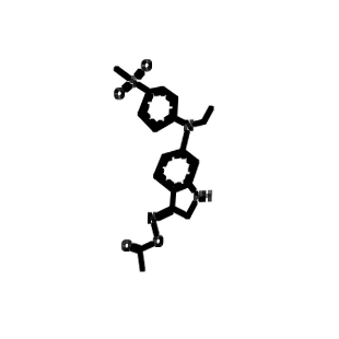 CCN(c1ccc(S(C)(=O)=O)cc1)c1ccc2c(c1)NCC2=NOC(C)=O